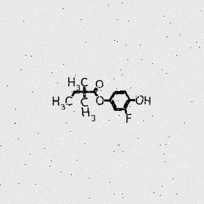 CCC(C)(C)C(=O)Oc1ccc(O)c(F)c1